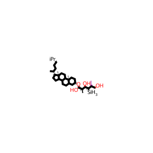 CC(C)CCCC(C)[C@H]1CCC2C3CCC4C[C@@H](O[C@@H](O)[C@H](C)C(O)[C@H]([SiH3])C(I)CO)CC[C@]4(C)C3CC[C@@]21C